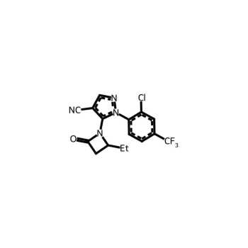 CCC1CC(=O)N1c1c(C#N)cnn1-c1ccc(C(F)(F)F)cc1Cl